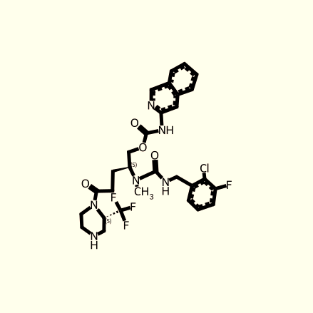 CN(C(=O)NCc1cccc(F)c1Cl)[C@@H](CCC(=O)N1CCNC[C@H]1C(F)(F)F)COC(=O)Nc1cc2ccccc2cn1